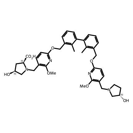 COc1nc(OCc2cccc(-c3cccc(COc4ccc(CN5C[C@@H](O)C[C@H]5C(=O)O)c(OC)n4)c3C)c2C)ccc1CN1CC[C@H](O)C1